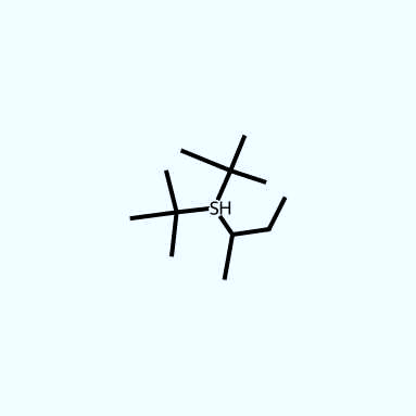 CCC(C)[SH](C(C)(C)C)C(C)(C)C